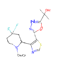 CC(C)(O)c1nnc(-c2scnc2C2CC(F)(F)CCN2C=O)o1